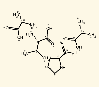 CC(C)[C@H](N)C(=O)O.C[C@H](N)C(=O)O.C[C@H](N)C(=O)O.O=C(O)[C@@H]1CCCN1